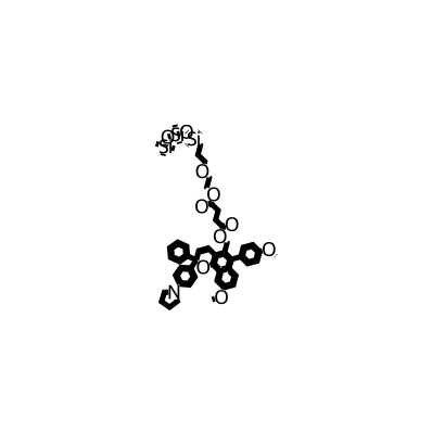 COc1ccc(-c2c(COC(=O)CCC(=O)OCCOCCC[Si](C)(C)O[Si](C)(C)O[Si](C)(C)C)c3c(c4cc(OC)ccc24)OC(c2ccccc2)(c2ccc(N4CCCC4)cc2)C=C3)cc1